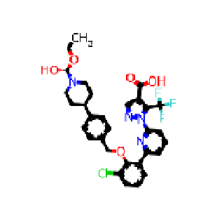 CCO[C@@H](O)N1CCC(c2ccc(COc3c(Cl)cccc3-c3cccc(-n4ncc(C(=O)O)c4C(F)(F)F)n3)cc2)CC1